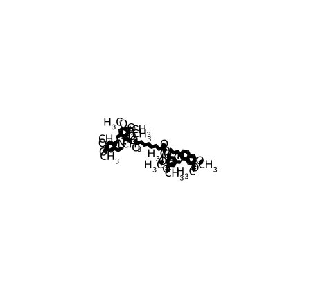 COc1cc2c(cc1OC)[C@@H](Cc1cc(OC)c(OC)c(OC)c1)[N@+](C)(CCCOC(=O)CCC=CCCC(=O)OCCC[N@+]1(C)CCc3cc(OC)c(OC)cc3[C@H]1Cc1cc(OC)c(OC)c(OC)c1)CC2